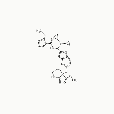 CCn1nccc1C(=O)NC(c1cn2nc(CC3(C(=O)OC)CCCNC3=O)ccc2n1)C(C1CC1)C1CC1